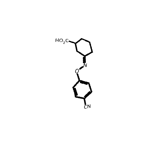 N#Cc1ccc(ON=C2CCCC(C(=O)O)C2)cc1